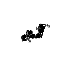 CS(=O)(=O)Nc1ccc(Oc2ccc(CN3CCC(N(C(=O)Nc4ccc(F)c(C(N)=O)c4)c4cccc(F)c4)CC3)cn2)cc1